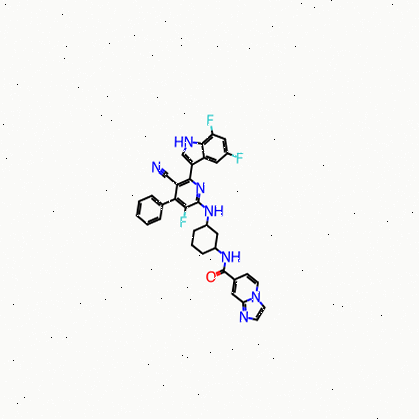 N#Cc1c(-c2c[nH]c3c(F)cc(F)cc23)nc(NC2CCCC(NC(=O)c3ccn4ccnc4c3)C2)c(F)c1-c1ccccc1